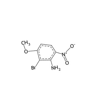 COc1ccc([N+](=O)[O-])c(N)c1Br